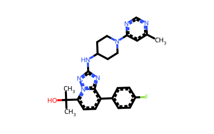 Cc1cc(N2CCC(Nc3nc4c(-c5ccc(F)cc5)ccc(C(C)(C)O)n4n3)CC2)ncn1